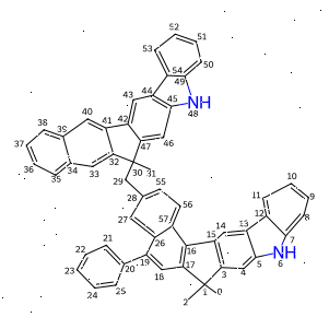 CC1(C)c2cc3[nH]c4ccccc4c3cc2-c2c1cc(-c1ccccc1)c1cc(CC3(C)c4cc5ccccc5cc4-c4cc5c(cc43)[nH]c3ccccc35)ccc21